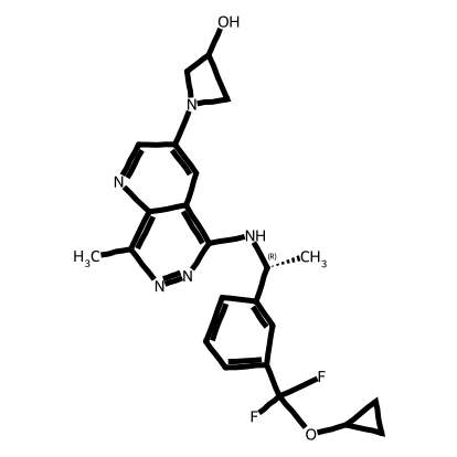 Cc1nnc(N[C@H](C)c2cccc(C(F)(F)OC3CC3)c2)c2cc(N3CC(O)C3)cnc12